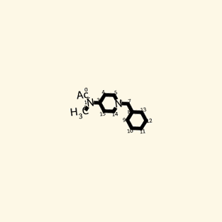 CC(=O)N(C)C1CCN(CC2CCCCC2)CC1